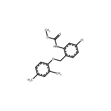 COC(=S)Nc1cc(Cl)ccc1COc1ccc(C)cc1C